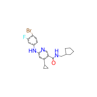 O=C(NCC1CCCC1)c1cnc(Nc2ccc(Br)c(F)c2)cc1C1CC1